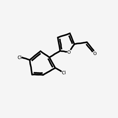 O=Cc1ccc(-c2cc(Cl)ccc2Cl)o1